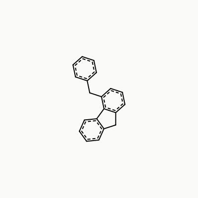 c1ccc(Cc2cccc3c2-c2ccccc2C3)cc1